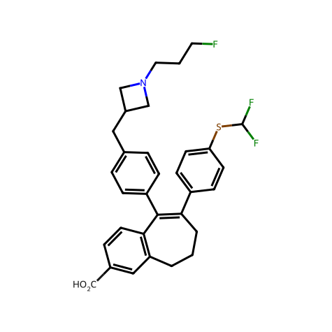 O=C(O)c1ccc2c(c1)CCCC(c1ccc(SC(F)F)cc1)=C2c1ccc(CC2CN(CCCF)C2)cc1